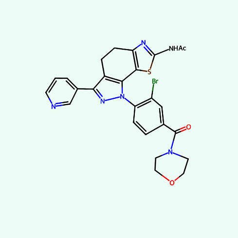 CC(=O)Nc1nc2c(s1)-c1c(c(-c3cccnc3)nn1-c1ccc(C(=O)N3CCOCC3)cc1Br)CC2